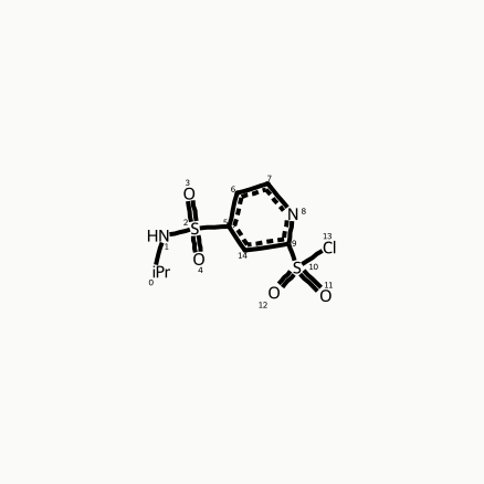 CC(C)NS(=O)(=O)c1ccnc(S(=O)(=O)Cl)c1